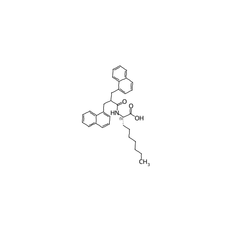 CCCCCCC[C@H](NC(=O)C(Cc1cccc2ccccc12)Cc1cccc2ccccc12)C(=O)O